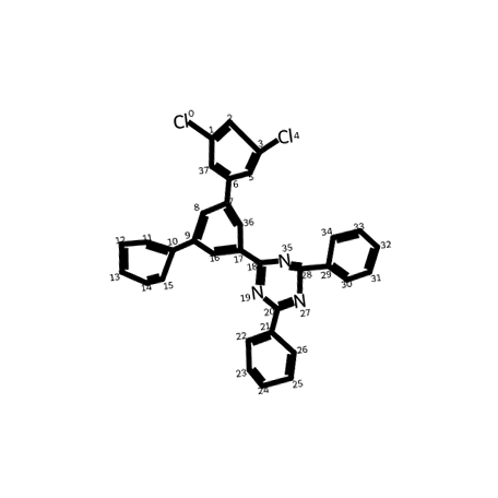 Clc1cc(Cl)cc(-c2cc(-c3ccccc3)cc(-c3nc(-c4ccccc4)nc(-c4ccccc4)n3)c2)c1